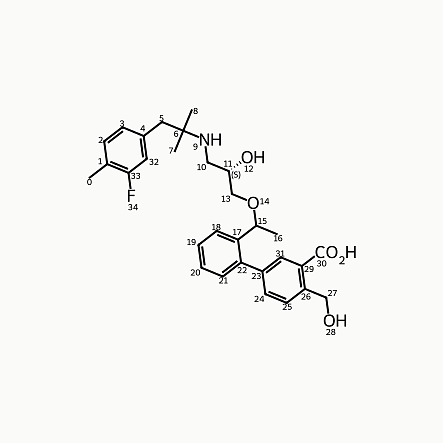 Cc1ccc(CC(C)(C)NC[C@H](O)COC(C)c2ccccc2-c2ccc(CO)c(C(=O)O)c2)cc1F